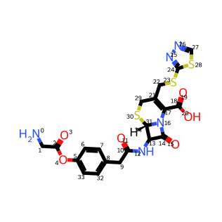 NCC(=O)Oc1ccc(CC(=O)NC2C(=O)N3C(C(=O)O)=C(CSc4nncs4)CS[C@@H]23)cc1